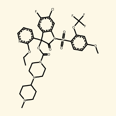 CCOc1ncccc1C1(OC(=O)N2CCN(C3CCN(C)CC3)CC2)C(=O)N(S(=O)(=O)c2ccc(OC)cc2OC(F)(F)F)c2cc(Cl)c(F)cc21